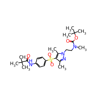 Cc1nn(CCN(C)C(=O)OC(C)(C)C)c(C)c1S(=O)(=O)c1ccc(NC(=O)C(C)(C)C)cc1